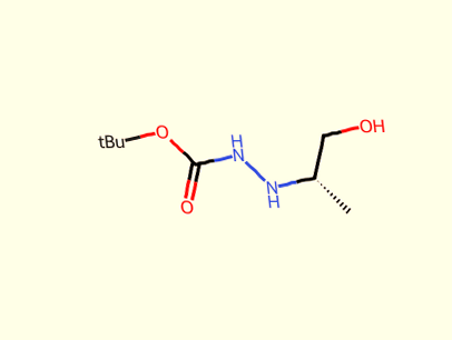 C[C@@H](CO)NNC(=O)OC(C)(C)C